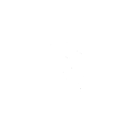 NCC(CC(=O)O)C(=O)N(O)CC(=O)O